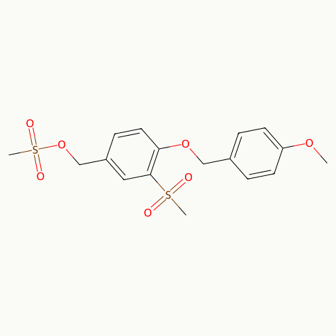 COc1ccc(COc2ccc(COS(C)(=O)=O)cc2S(C)(=O)=O)cc1